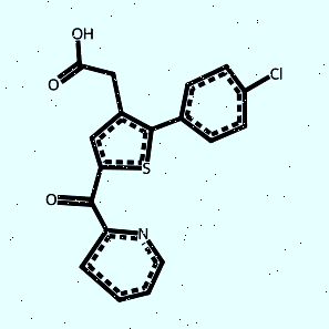 O=C(O)Cc1cc(C(=O)c2ccccn2)sc1-c1ccc(Cl)cc1